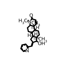 CN1C(=O)C=C[C@@]2(C)C1CC[C@@H]1[C@H]2CC[C@]2(C)C(O)C(=Cc3ccccn3)C[C@@H]12